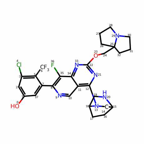 Oc1cc(Cl)c(C(F)(F)F)c(-c2ncc3c(N4CC5CCC4CN5)nc(OCC45CCCN4CCC5)nc3c2F)c1